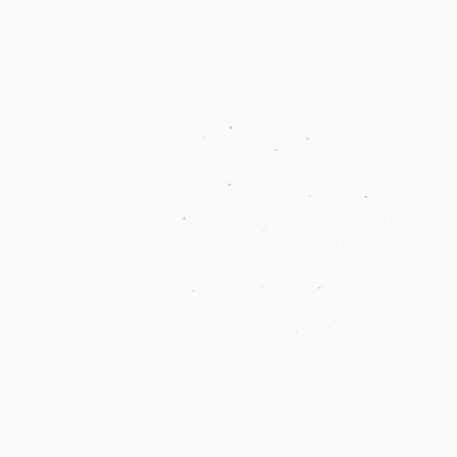 C[Si](C)(Cl)CC[Si](CC[Si](C)(C)Cl)(CC[Si](C)(C)Cl)CC[Si](CCCCNC(=O)OCc1c2ccccc2cc2ccccc12)(CC[Si](CC[Si](C)(C)Cl)(CC[Si](C)(C)Cl)CC[Si](C)(C)Cl)CC[Si](CC[Si](C)(C)Cl)(CC[Si](C)(C)Cl)CC[Si](C)(C)Cl